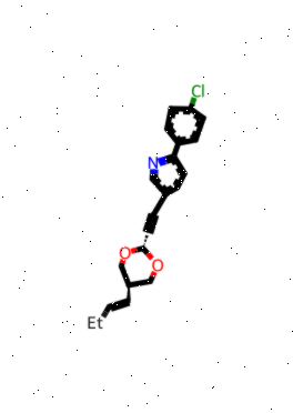 CC/C=C/[C@H]1CO[C@H](C#Cc2ccc(-c3ccc(Cl)cc3)nc2)OC1